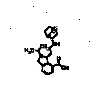 CC(C)N1Cc2cccc(C(=O)O)c2[C@@H]1CCNC1CN2CCC1CC2